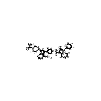 Nc1ncnn2c(C3CCN(C(=O)O)CC3)cc(-c3ccc(NC(=O)c4c5n(n(-c6ccccn6)c4=O)CCOC5)cc3F)c12